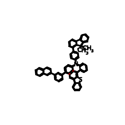 CC1(C)c2ccccc2-c2cccc(-c3ccc(N(c4ccc(-c5cccc(-c6ccc7ccccc7c6)c5)cc4)c4ccccc4-c4cccc5c4sc4ccccc45)cc3)c21